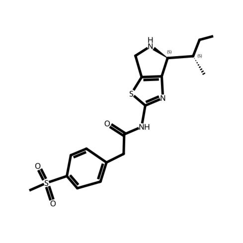 CC[C@H](C)[C@@H]1NCc2sc(NC(=O)Cc3ccc(S(C)(=O)=O)cc3)nc21